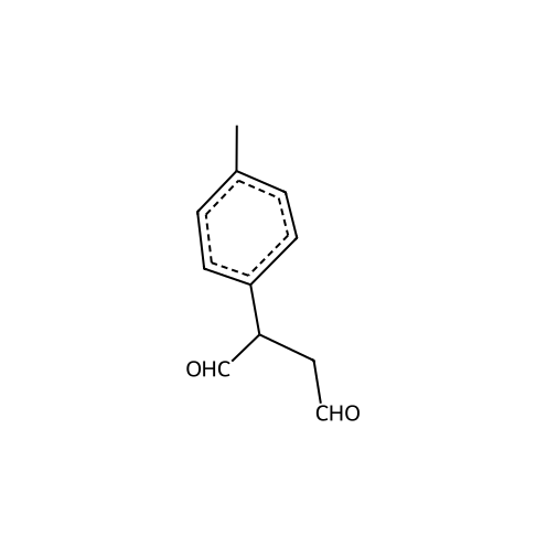 Cc1ccc(C(C=O)CC=O)cc1